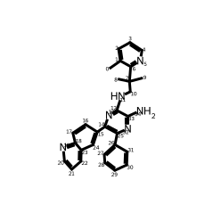 Cc1cccnc1C(C)(C)CNc1nc(-c2ccc3ncccc3c2)c(-c2ccccc2)nc1N